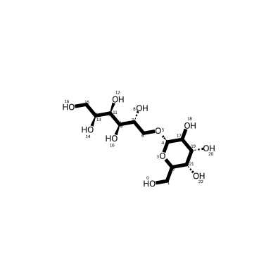 OCC1O[C@H](OC[C@@H](O)[C@@H](O)[C@H](O)[C@@H](O)CO)C(O)[C@H](O)[C@@H]1O